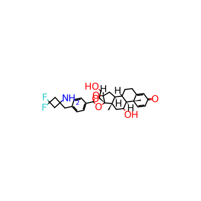 C[C@]12C=CC(=O)C=C1CC[C@@H]1[C@@H]2[C@@H](O)C[C@@]2(C)[C@H]1C[C@H]1OC(c3ccc(CC4(N)CC(F)(F)C4)cc3)O[C@]12C(=O)CO